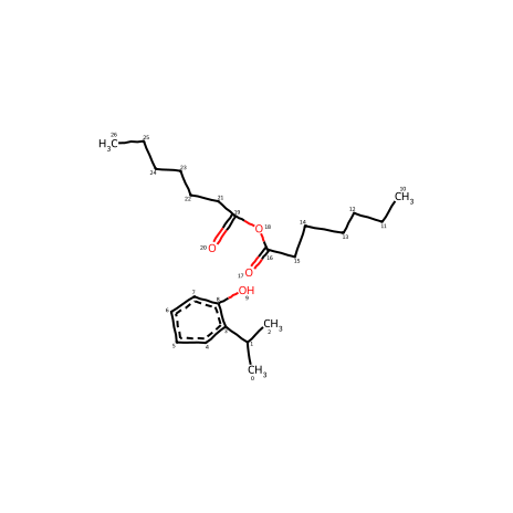 CC(C)c1ccccc1O.CCCCCCC(=O)OC(=O)CCCCCC